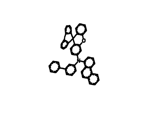 c1ccc(-c2cccc(N(c3ccc4c(c3)Oc3ccccc3C43c4ccccc4-c4ccccc43)c3cccc4c3ccc3ccccc34)c2)cc1